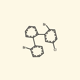 Clc1ccc(Br)c(-c2ccccc2-c2ccccc2Br)c1